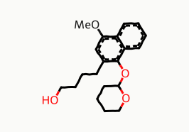 COc1cc(CCCCO)c(OC2CCCCO2)c2ccccc12